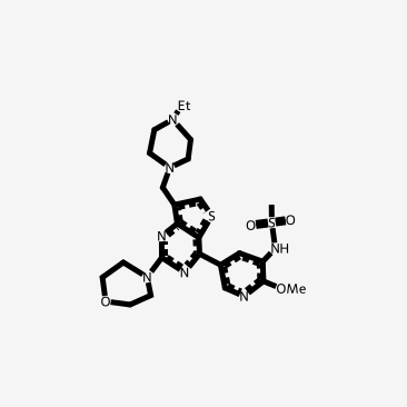 CCN1CCN(Cc2csc3c(-c4cnc(OC)c(NS(C)(=O)=O)c4)nc(N4CCOCC4)nc23)CC1